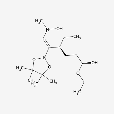 CCO[C@H](O)CC[C@H](CC)/C(=C\N(C)O)B1OC(C)(C)C(C)(C)O1